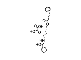 O=C(CCCc1ccccc1)OCCCCCCNCC(O)c1ccccc1.O=C(O)C(=O)O